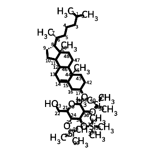 CC(C)CCC[C@@H](C)[C@H]1CCC2C3CC=C4CC(O[C@H]5OC(CO)[C@@H](O[Si](C)(C)C)C(O[Si](C)(C)C)C5O[Si](C)(C)C)CC[C@]4(C)C3CC[C@@]21C